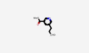 COC(=O)c1cncc(CCC=O)c1